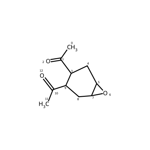 CC(=O)C1CC2OC2CC1C(C)=O